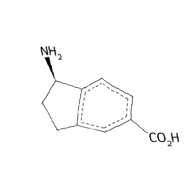 N[C@@H]1CCc2cc(C(=O)O)ccc21